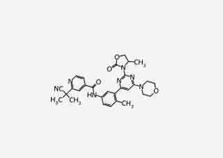 Cc1ccc(NC(=O)c2ccnc(C(C)(C)C#N)c2)cc1-c1cc(N2CCOCC2)nc(N2C(=O)OCC2C)n1